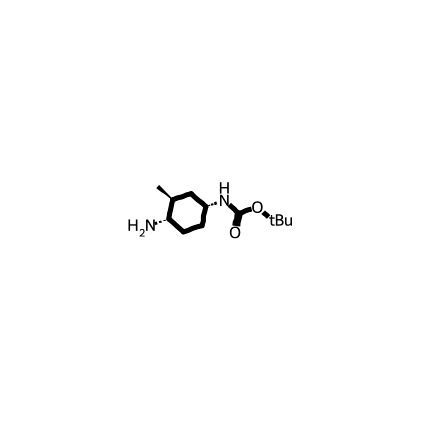 C[C@H]1C[C@H](NC(=O)OC(C)(C)C)CC[C@@H]1N